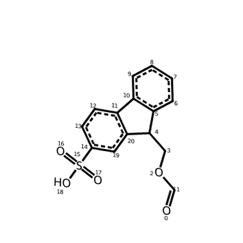 O=[C]OCC1c2ccccc2-c2ccc(S(=O)(=O)O)cc21